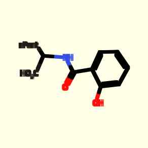 CCCCCC(NC(=O)c1ccccc1O)C(=O)O